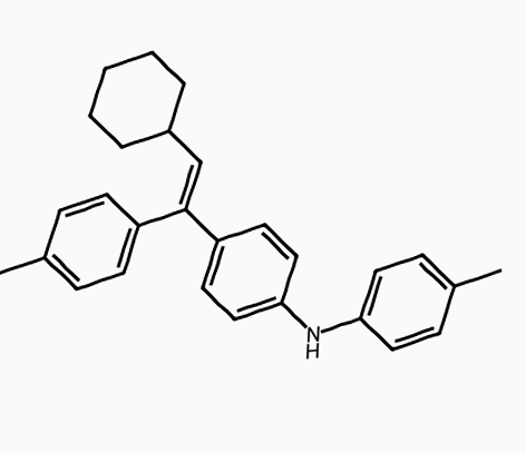 Cc1ccc(Nc2ccc(C(=CC3CCCCC3)c3ccc(C)cc3)cc2)cc1